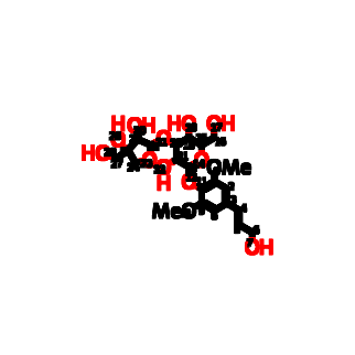 COc1cc(C=CCO)cc(OC)c1OC1OC(CO)C(O)C(OC2OCC(O)(CO)C2O)C1O